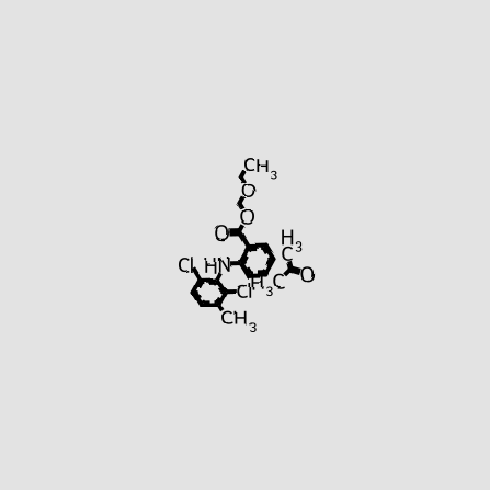 CC(C)=O.CCOCOC(=O)c1ccccc1Nc1c(Cl)ccc(C)c1Cl